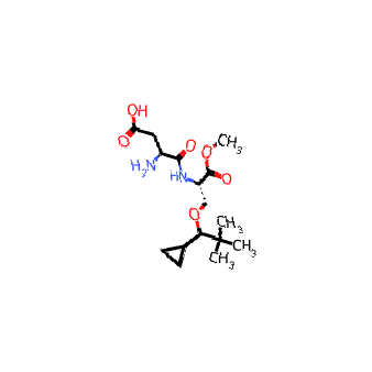 COC(=O)[C@H](COC(C1CC1)C(C)(C)C)NC(=O)[C@@H](N)CC(=O)O